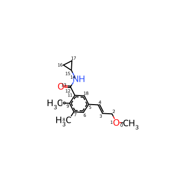 COCC=Cc1cc(C)c(C)c(C(=O)NC2CC2)c1